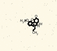 C=CCN1CC[C@]23c4c5ccc(OC)c4OC2C(=O)CCC3(O)[C@H]1C5